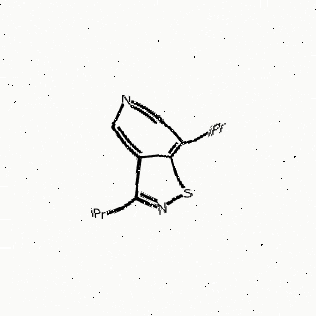 CC(C)c1nsc2c(C(C)C)cncc12